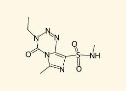 CCn1nnc2c(S(=O)(=O)NC)nc(C)n2c1=O